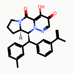 C=C(C)c1cccc(C(c2cccc(C)c2)[C@H]2[C@H]3CCCN3C(=O)c3c(O)c(=O)cnn32)c1